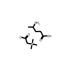 CC(N)CCC(=O)O.C[N+](C)(C)CC(=O)[O-]